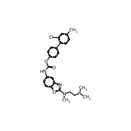 Cc1ccc(-c2ccc(OC(=O)Nc3ccc4oc(N(C)CCN(C)C)nc4c3)cc2)c(Cl)c1